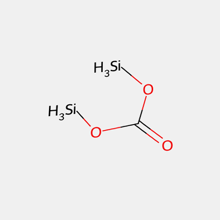 O=C(O[SiH3])O[SiH3]